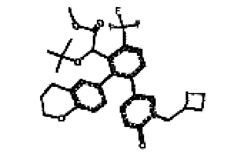 COC(=O)C(OC(C)(C)C)c1c(C(F)(F)F)ccc(-c2ccc(=O)n(CC3CCC3)c2)c1-c1ccc2c(c1)CCCO2